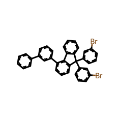 Brc1cccc(C2(c3cccc(Br)c3)c3ccccc3-c3c(-c4cccc(-c5ccccc5)c4)cccc32)c1